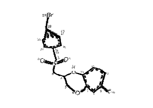 O=S(=O)(CC1COc2cc(F)ccc2O1)c1ccc(Br)cc1